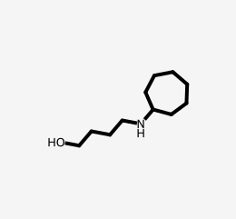 OCCCCNC1CCCCCC1